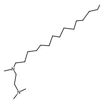 CCCCCCCCCCCCCCCN(C)CCN(C)C